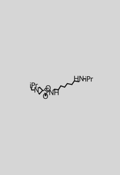 CC(C)CN1CC(S(=O)(=O)NCCCCCCCCNC(C)C)C1